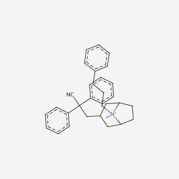 C[N+]1(CCCc2ccccc2)C2CCC1CC(CC(C#N)(c1ccccc1)c1ccccc1)C2